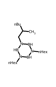 CCCCCCN1BN(CCCCCC)BN(CC(C)CCCC)B1